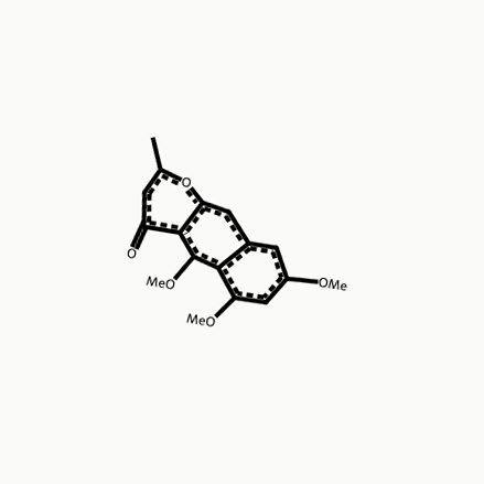 COc1cc(OC)c2c(OC)c3c(=O)cc(C)oc3cc2c1